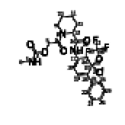 CNC(=O)OCC(=O)N1CCCCC1C(=O)NC1=CC=C(c2ccccc2)C(Cl)(OC(F)(F)F)C1